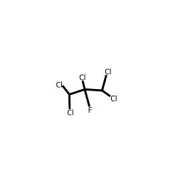 FC(Cl)(C(Cl)Cl)C(Cl)Cl